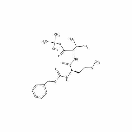 CSCC[C@@H](NC(=O)OCc1ccccc1)C(=O)N[C@H](C(=O)OC(C)(C)C)C(C)C